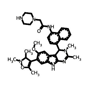 COc1cc2c3c([nH]c2cc1C1=C(C)ON(C)C1C)N=C(C)N(C)C3c1ccc(NC(=O)CN2CCNCC2)c2ccccc12